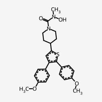 COc1ccc(-c2cc(C3CCN(C(=O)N(C)O)CC3)sc2-c2ccc(OC)cc2)cc1